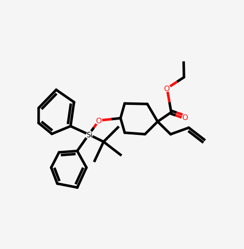 C=CCC1(C(=O)OCC)CCC(O[Si](c2ccccc2)(c2ccccc2)C(C)(C)C)CC1